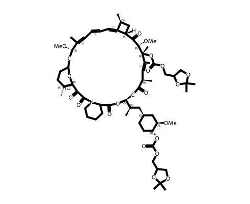 CO[C@H]1CC2CC[C@@H](C)[C@@](O)(O2)C(=O)C(=O)N2CCCCC2C(=O)O[C@H]([C@H](C)C[C@@H]2CC[C@@H](OC(=O)OCC3COC(C)(C)O3)[C@H](OC)C2)CC(=O)[C@H](C)/C=C(\C)[C@@](C)(OC(=O)OCC2COC(C)(C)O2)[C@@H](OC)C(=O)[C@H]2C[C@H](C)/C2=C/C=C/C=C/1C